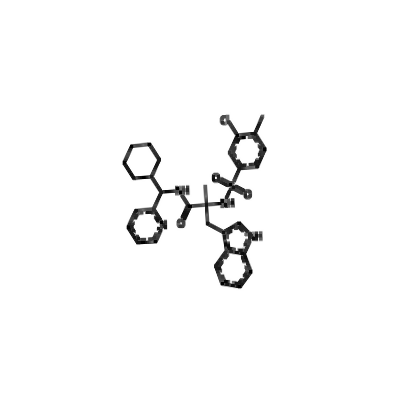 Cc1ccc(S(=O)(=O)NC(C)(Cc2c[nH]c3ccccc23)C(=O)NC(c2ccccn2)C2CCCCC2)cc1Cl